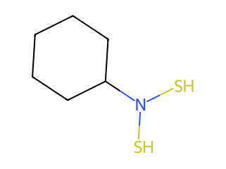 SN(S)C1CCCCC1